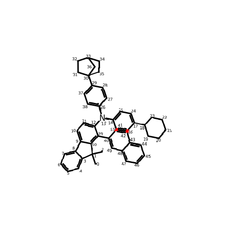 CC1(C)c2ccccc2-c2ccc(N(c3ccc(C4CCCCC4)cc3)c3ccc(C45CCC(CC4)C5)cc3)c(-c3ccc4ccccc4c3)c21